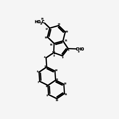 O=Cc1cn(Cc2ccc3ccccc3c2)c2cc(C(=O)O)ccc12